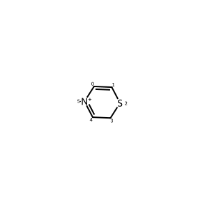 C1=CSCC=[N+]1